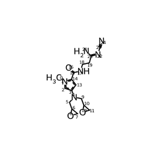 Cn1cc(N(CC2CO2)CC2CO2)cc1C(=O)NCC/C(N)=N/C#N